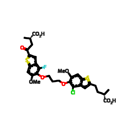 COc1cc2sc(C(=O)C[C@H](C)C(=O)O)cc2c(F)c1OCCCOc1c(OC)cc2sc(CC[C@H](C)C(=O)O)cc2c1Cl